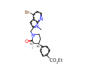 CCOC(=O)c1ccc([C@@H]2CCN(Cc3cc4c(Br)ccnc4n3C)C(=O)[C@H]2C)cc1